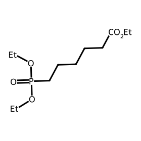 CCOC(=O)CCCCCP(=O)(OCC)OCC